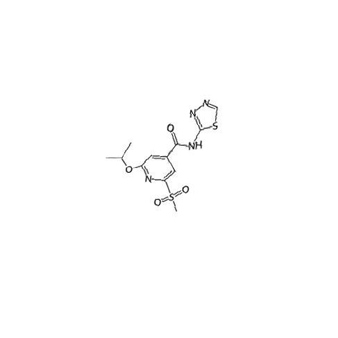 CC(C)Oc1cc(C(=O)Nc2nncs2)cc(S(C)(=O)=O)n1